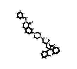 CCNC(=O)C1(CCCCN2CCN(c3ccc4c(c3)C(=O)N(Cc3ccccc3)CC4)CC2)c2ccccc2Oc2ccccc21